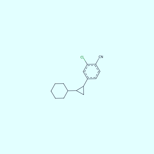 N#Cc1ccc(C2CC2C2CCCCC2)cc1Cl